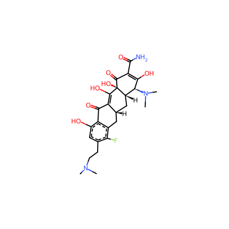 CN(C)CCc1cc(O)c2c(c1F)C[C@H]1C[C@H]3[C@H](N(C)C)C(O)=C(C(N)=O)C(=O)[C@@]3(O)C(O)=C1C2=O